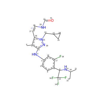 Cc1c(Nc2ccc(C(NC(C)C)C(F)(F)F)c(F)c2)nn(CC2CC2)c1/C=C\NC=O